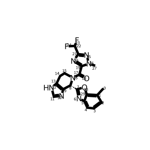 Cc1cccc2nc([C@@H]3c4nc[nH]c4CCN3C(=O)c3nc(C(F)F)nn3C)oc12